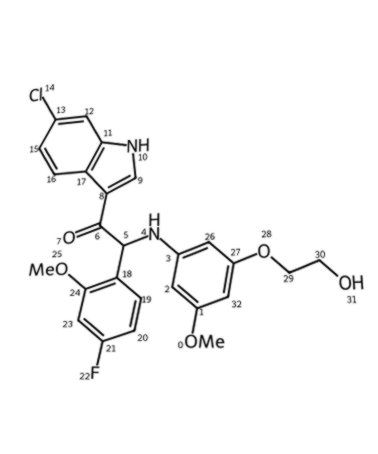 COc1cc(NC(C(=O)c2c[nH]c3cc(Cl)ccc23)c2ccc(F)cc2OC)cc(OCCO)c1